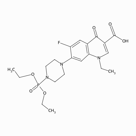 CCOP(=O)(OCC)N1CCN(c2cc3c(cc2F)c(=O)c(C(=O)O)cn3CC)CC1